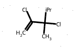 C=C(Cl)C(C)(Cl)C(C)C